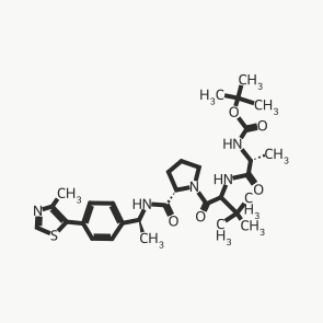 Cc1ncsc1-c1ccc([C@H](C)NC(=O)[C@@H]2CCCN2C(=O)C(NC(=O)[C@@H](C)NC(=O)OC(C)(C)C)C(C)(C)C)cc1